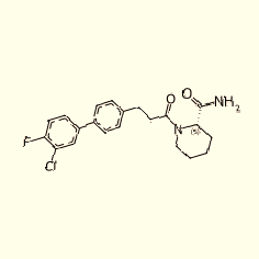 NC(=O)[C@@H]1CCCCN1C(=O)[CH]Cc1ccc(-c2ccc(F)c(Cl)c2)cc1